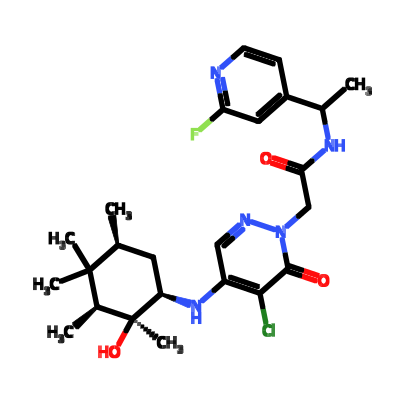 CC(NC(=O)Cn1ncc(N[C@@H]2C[C@H](C)C(C)(C)[C@H](C)[C@]2(C)O)c(Cl)c1=O)c1ccnc(F)c1